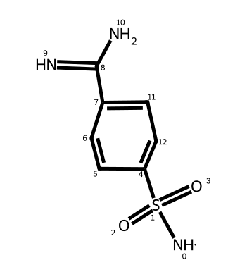 [NH]S(=O)(=O)c1ccc(C(=N)N)cc1